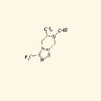 CC1Cn2c(cnc2C(F)(F)F)CN1C=O